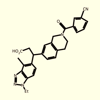 CCn1nnc2c(C)c(C(CC(=O)O)c3ccc4c(c3)CN(C(=O)c3cccc(C#N)c3)CC4)ccc21